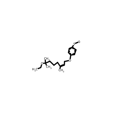 CCOC(C)(C)CCCC(C)=CCOc1ccc(S[S])cc1